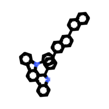 c1ccc(-n2c3ccccc3c3ccc4c5ccccc5nc(-c5ccc(-c6ccc7cc(-c8ccc9ccccc9c8)ccc7c6)cc5)c4c32)cc1